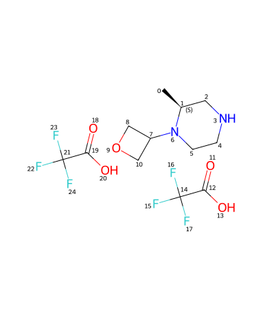 C[C@H]1CNCCN1C1COC1.O=C(O)C(F)(F)F.O=C(O)C(F)(F)F